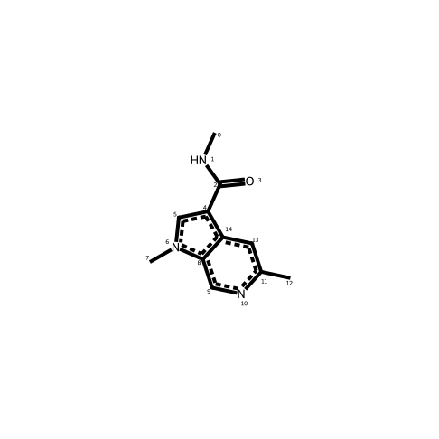 CNC(=O)c1cn(C)c2cnc(C)cc12